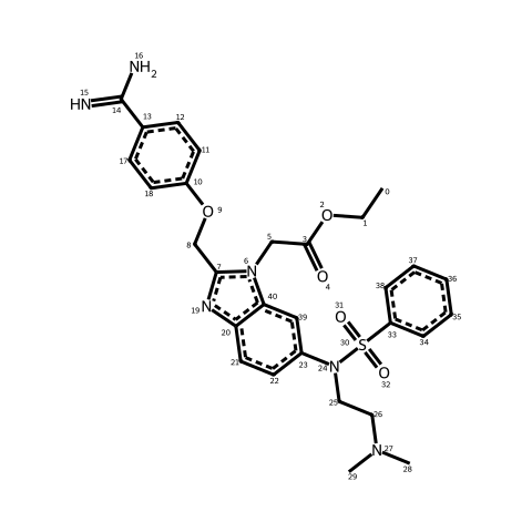 CCOC(=O)Cn1c(COc2ccc(C(=N)N)cc2)nc2ccc(N(CCN(C)C)S(=O)(=O)c3ccccc3)cc21